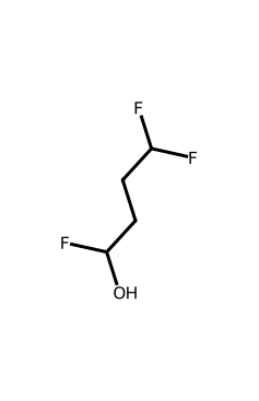 OC(F)CCC(F)F